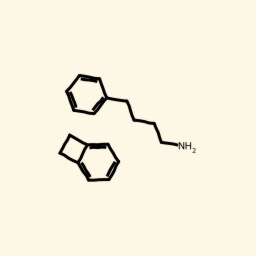 NCCCCc1ccccc1.c1ccc2c(c1)CC2